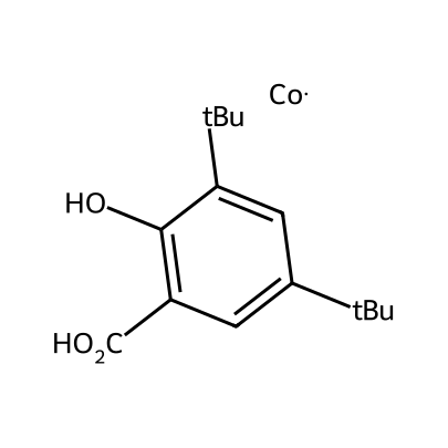 CC(C)(C)c1cc(C(=O)O)c(O)c(C(C)(C)C)c1.[Co]